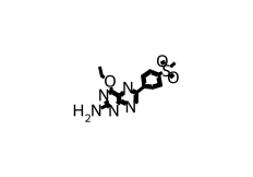 CCOc1nc(N)nc2ncc(-c3ccc(S(C)(=O)=O)cc3)nc12